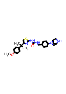 COc1ccc(C(C)(C)c2csc(NC(=O)NCc3ccc(N4CC5CC4CN5)cc3)n2)cc1